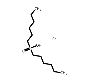 CCCCCCP(=O)(O)CCCCCC.[Cr]